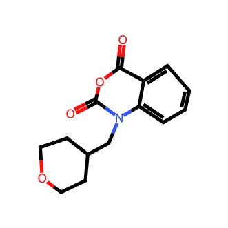 O=c1oc(=O)n(CC2CCOCC2)c2ccccc12